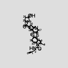 C#CCNC(=O)n1c(C)cc2c(F)c(Oc3ccnc4cc(C(=O)N5CCC(O)C5)sc34)ccc21